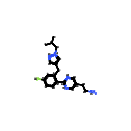 CC(C)Cn1cc(Cc2cc(F)ccc2-c2ncc(CCN)cn2)cn1